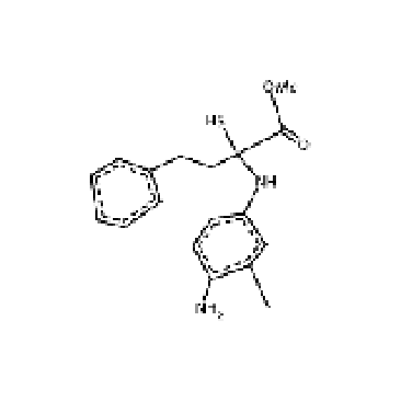 COC(=O)C(S)(CCc1ccccc1)Nc1ccc(N)c(C)c1